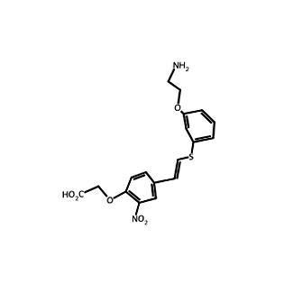 NCCOc1cccc(SC=Cc2ccc(OCC(=O)O)c([N+](=O)[O-])c2)c1